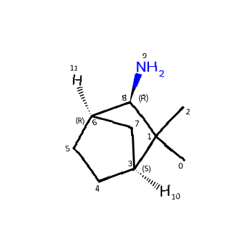 CC1(C)[C@H]2CC[C@H](C2)[C@H]1N